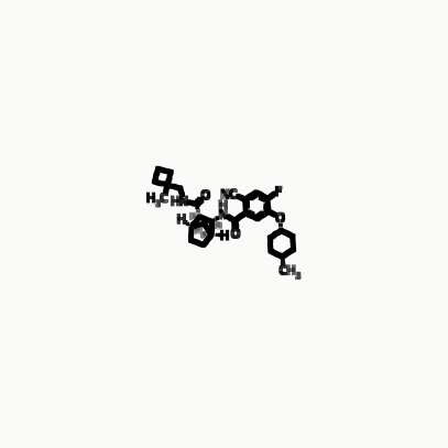 CC1(CNC(=O)[C@H]2[C@@H]3CC[C@@H](C3)[C@H]2NC(=O)c2cc(O[C@H]3CC[C@H](C)CC3)c(F)cc2C#N)CCC1